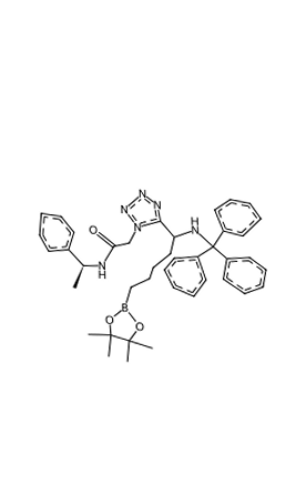 C[C@H](NC(=O)Cn1nnnc1C(CCCCB1OC(C)(C)C(C)(C)O1)NC(c1ccccc1)(c1ccccc1)c1ccccc1)c1ccccc1